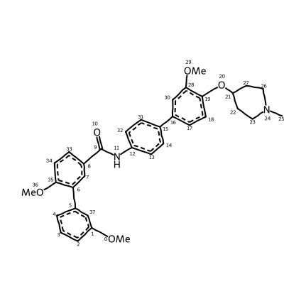 COc1cccc(-c2cc(C(=O)Nc3ccc(-c4ccc(OC5CCN(C)CC5)c(OC)c4)cc3)ccc2OC)c1